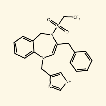 O=S(=O)(CC(F)(F)F)N1Cc2ccccc2N(Cc2c[nH]cn2)C=C1Cc1ccccc1